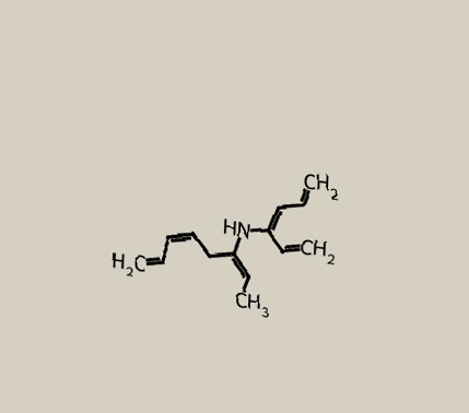 C=C/C=C\C/C(=C\C)N/C(C=C)=C/C=C